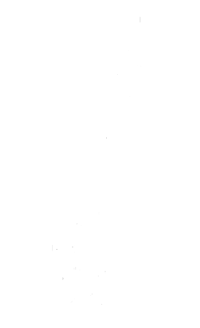 CCC=CCC=CCC=CCC=CCC=CCC(Br)C1CCC(=O)O1